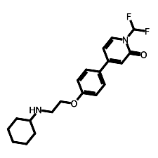 O=c1cc(-c2ccc(OCCNC3CCCCC3)cc2)ccn1C(F)F